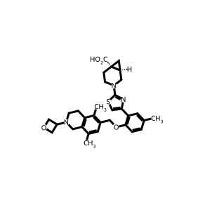 Cc1ccc(OCc2cc(C)c3c(c2C)CCN(C2COC2)C3)c(-c2csc(N3CC[C@@]4(C(=O)O)C[C@H]4C3)n2)c1